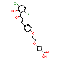 O=C(/C=C/c1ccc(OCCO[C@H]2C[C@@H](C(=O)O)C2)cc1)c1c(Br)ccc(Cl)c1O